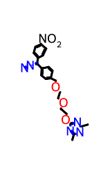 Cc1nc(C)nc(OCCOCCOCc2ccc(C(=[N+]=[N-])c3ccc([N+](=O)[O-])cc3)cc2)n1